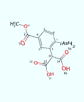 COC(=O)c1ccc([AsH2])c(C(C(=O)O)C(=O)O)c1